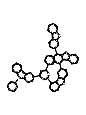 c1ccc(-c2nc(-c3ccc4c(c3)c3ccccc3n4-c3ccccc3)nc(-c3cccc4oc5ccc(-c6ccc(-c7ccc8c(c7)sc7ccccc78)c7oc8ccccc8c67)cc5c34)n2)cc1